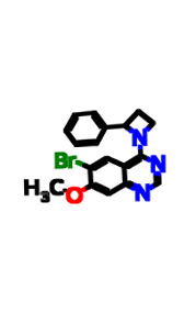 COc1cc2ncnc(N3CCC3c3ccccc3)c2cc1Br